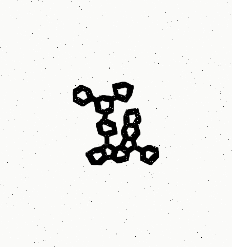 c1ccc(-c2cc(-c3ccccc3)cc(-c3ccc(-n4c5ccccc5c5ccc6c(c7cc8ccccc8cc7n6-c6ccccc6)c54)cc3)c2)cc1